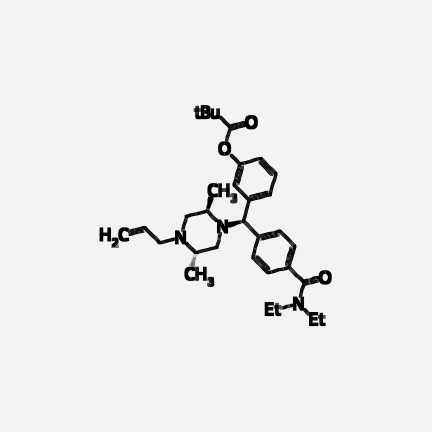 C=CCN1C[C@@H](C)N([C@H](c2ccc(C(=O)N(CC)CC)cc2)c2cccc(OC(=O)C(C)(C)C)c2)C[C@@H]1C